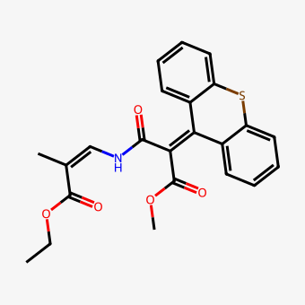 CCOC(=O)C(C)=CNC(=O)C(C(=O)OC)=C1c2ccccc2Sc2ccccc21